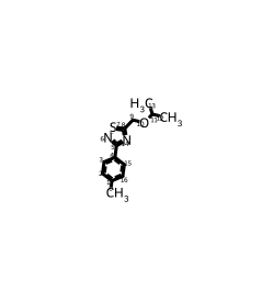 Cc1ccc(-c2nsc(COC(C)C)n2)cc1